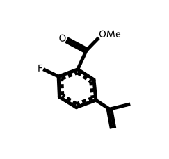 C=C(C)c1ccc(F)c(C(=O)OC)c1